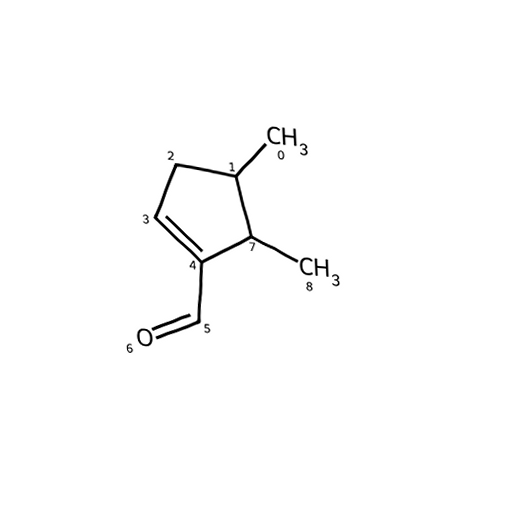 CC1CC=C(C=O)C1C